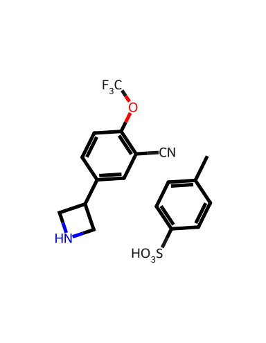 Cc1ccc(S(=O)(=O)O)cc1.N#Cc1cc(C2CNC2)ccc1OC(F)(F)F